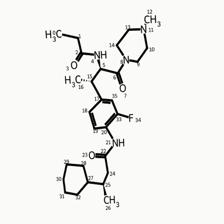 CCC(=O)N[C@@H](C(=O)N1CCN(C)CC1)[C@@H](C)c1ccc(NC(=O)C[C@@H](C)C2CCCCC2)c(F)c1